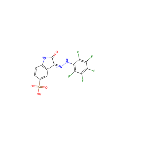 O=C1Nc2ccc(S(=O)(=O)O)cc2/C1=N/Nc1c(F)c(F)c(F)c(F)c1F